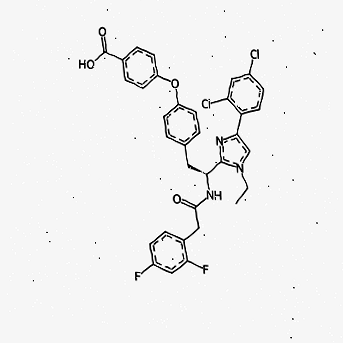 CCn1cc(-c2ccc(Cl)cc2Cl)nc1[C@H](Cc1ccc(Oc2ccc(C(=O)O)cc2)cc1)NC(=O)Cc1ccc(F)cc1F